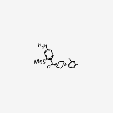 CSc1cc(N)ccc1C(=O)N1CCN(c2ccc(C)cc2C)CC1